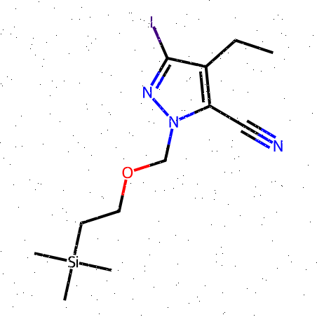 CCc1c(I)nn(COCC[Si](C)(C)C)c1C#N